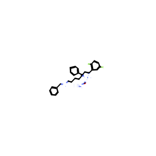 CCNC(=O)N1N=C(c2cc(F)ccc2F)CC1(CCCCNCc1ccccc1)c1ccccc1